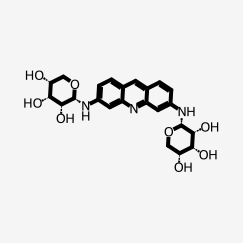 O[C@@H]1[C@H](O)[C@H](O)CO[C@@H]1Nc1ccc2cc3ccc(N[C@H]4OC[C@@H](O)[C@@H](O)[C@H]4O)cc3nc2c1